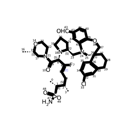 C[C@H]([C@@H](C)C/C=C(\F)[C@H](C(=O)N1CCO[C@@H](C)C1)N1CCC[C@H]1CN1C[C@@]2(CCCc3cc(Cl)ccc32)COc2ccc(C=O)cc21)S(N)(=O)=O